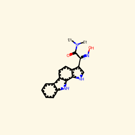 CCN(CC)C(=O)/C(=N\O)c1c[nH]c2c1ccc1c3ccccc3[nH]c12